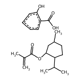 C=C(C)C(=O)OC1CC(C)CCC1C(C)C.O=C(O)c1ccccc1O